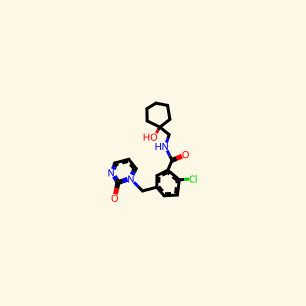 O=C(NCC1(O)CCCCC1)c1cc(Cn2cccnc2=O)ccc1Cl